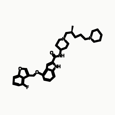 C[C@@H](CCCN1CCCCC1)CN1CCC(NC(=O)c2cc3c(OCc4coc5cccc(F)c45)cccc3[nH]2)CC1